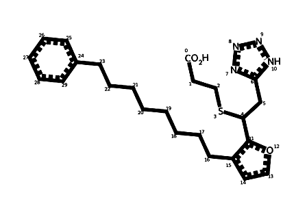 O=C(O)CCSC(Cc1nnn[nH]1)c1occc1CCCCCCCCc1ccccc1